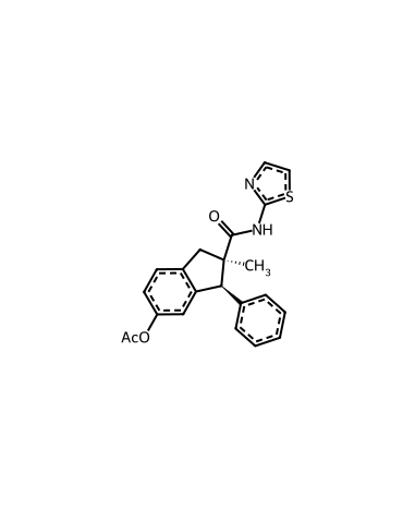 CC(=O)Oc1ccc2c(c1)[C@H](c1ccccc1)[C@](C)(C(=O)Nc1nccs1)C2